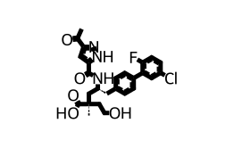 CC(=O)c1cc(C(=O)N[C@H](Cc2ccc(-c3cc(Cl)ccc3F)cc2)C[C@@](C)(CCO)C(=O)O)[nH]n1